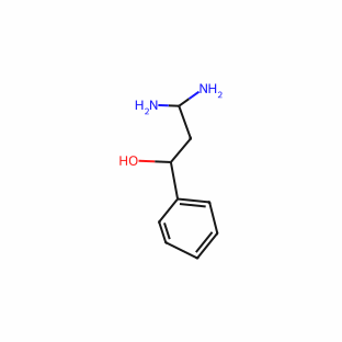 NC(N)CC(O)c1ccccc1